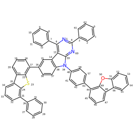 c1ccc(-c2nc(-c3ccccc3)c3c4cc(-c5cccc6c5sc5c(-c7ccccc7)cccc56)ccc4n(-c4ccc(-c5cccc6c5oc5ccccc56)cc4)c3n2)cc1